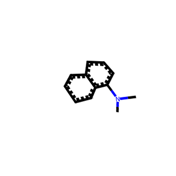 CN(C)c1cccc2ccc[c]c12